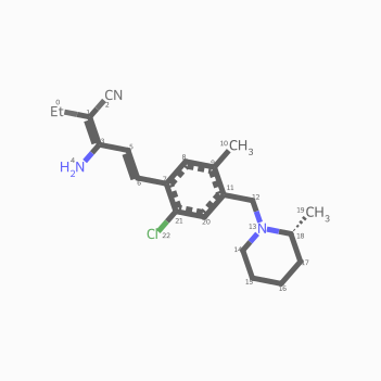 CC/C(C#N)=C(N)/C=C/c1cc(C)c(CN2CCCC[C@H]2C)cc1Cl